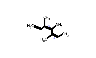 C=C/C(C)=C(N)\C(C)=C/C